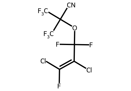 N#CC(OC(F)(F)C(Cl)=C(F)Cl)(C(F)(F)F)C(F)(F)F